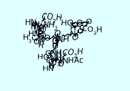 CC(=O)N[C@H](CCC(=O)O)C(=O)N[C@H](Cc1c[nH]cn1)C(=O)N[C@@H](C(=O)NCCOCC(=O)N[C@H](CCCCNC(=O)c1ccc(C(=O)O)c(-c2c3ccc(=O)cc-3oc3cc(O)ccc23)c1)C(=O)NCCOCC(=O)N[C@@H](C(=O)N[C@H](Cc1c[nH]cn1)C(=O)N[C@H](CCC(=O)O)C(N)=O)[C@H](C)O)[C@H](C)O